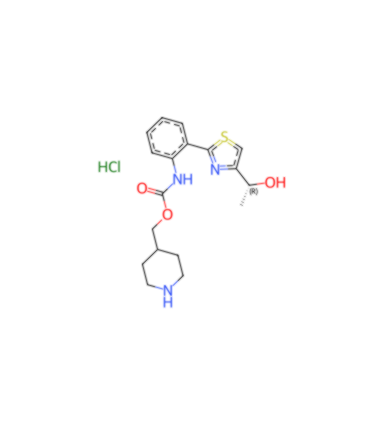 C[C@@H](O)c1csc(-c2ccccc2NC(=O)OCC2CCNCC2)n1.Cl